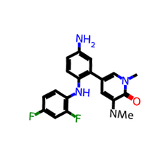 CNc1cc(-c2cc(N)ccc2Nc2ccc(F)cc2F)cn(C)c1=O